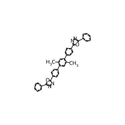 Cc1cc(-c2ccc(-c3nnc(-c4ccccc4)o3)cc2)c(C)cc1-c1ccc(-c2nnc(-c3ccccc3)o2)cc1